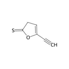 C#CC1=CCC(=S)O1